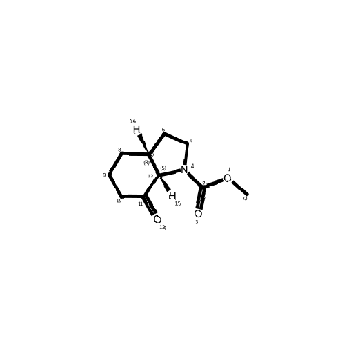 COC(=O)N1CC[C@H]2CCCC(=O)[C@H]21